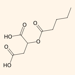 CCCCC(=O)OC(CC(=O)O)C(=O)O